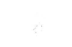 C[C@@H](O)[C@H](NC(=O)C1CCCCC1)C(=O)O